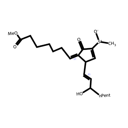 CCCCCC(O)/C=C/C1C=C([S+](C)[O-])C(=O)/C1=C\CCCCCC(=O)OC